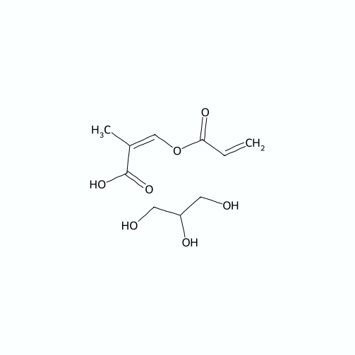 C=CC(=O)OC=C(C)C(=O)O.OCC(O)CO